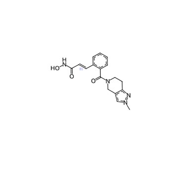 Cn1cc2c(n1)CCN(C(=O)c1ccccc1/C=C/C(=O)NO)C2